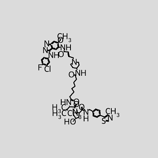 COc1cc2ncnc(Nc3ccc(F)c(Cl)c3)c2cc1NC(=O)/C=C/CN1CCC(NC(=O)CCCCCCC(=O)N[C@H](C(=O)N2C[C@H](O)CC2C(=O)NCc2ccc(-c3scnc3C)cc2)C(C)(C)C)CC1